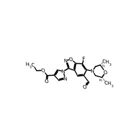 CCOC(=O)c1cnn(-c2noc3c(F)c(N4C[C@@H](C)O[C@@H](C)C4)c(C=O)cc23)c1